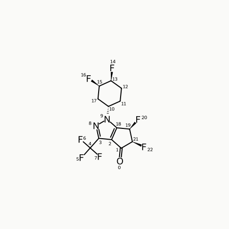 O=C1c2c(C(F)(F)F)nn([C@H]3CC[C@H](F)[C@H](F)C3)c2[C@@H](F)[C@H]1F